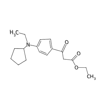 CCOC(=O)CC(=O)c1ccc(N(CC)C2CCCC2)cc1